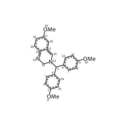 COc1ccc(C(c2ccc(OC)cc2)N2C=c3cc(OC)ccc3=NC2)cc1